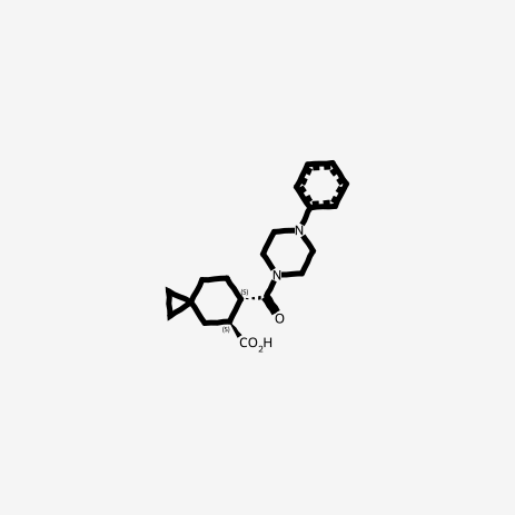 O=C(O)[C@H]1CC2(CC[C@@H]1C(=O)N1CCN(c3ccccc3)CC1)CC2